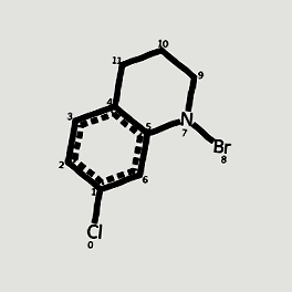 Clc1ccc2c(c1)N(Br)CCC2